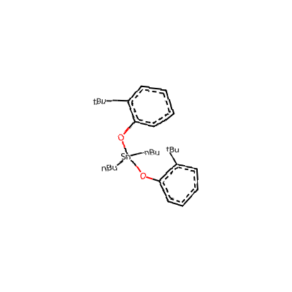 CCC[CH2][Sn]([CH2]CCC)([O]c1ccccc1C(C)(C)C)[O]c1ccccc1C(C)(C)C